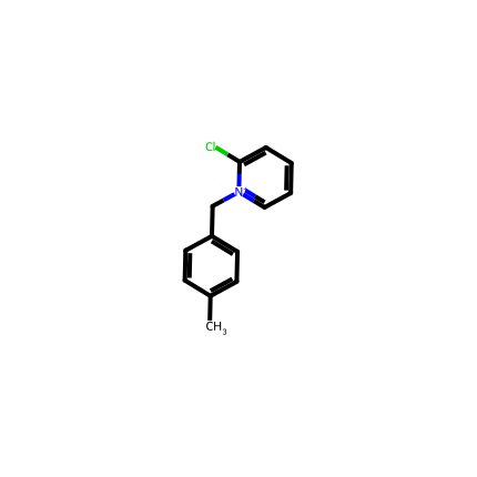 Cc1ccc(C[n+]2ccccc2Cl)cc1